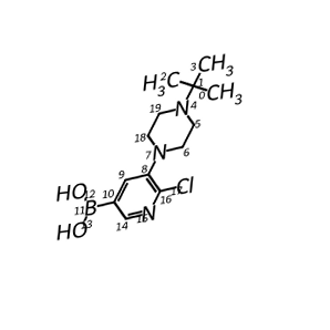 CC(C)(C)N1CCN(c2cc(B(O)O)cnc2Cl)CC1